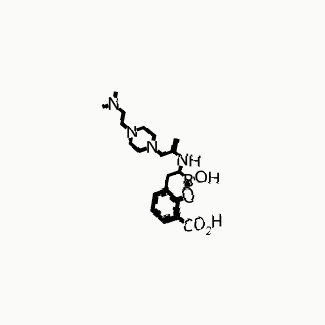 C=C(CN1CCN(CCN(C)C)CC1)NC1Cc2cccc(C(=O)O)c2OB1O